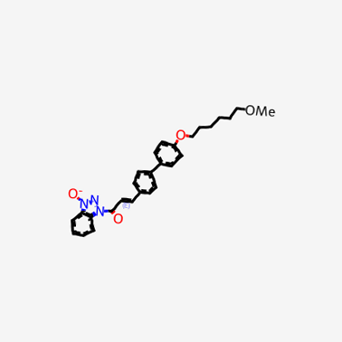 COCCCCCCOc1ccc(-c2ccc(/C=C/C(=O)n3n[n+]([O-])c4ccccc43)cc2)cc1